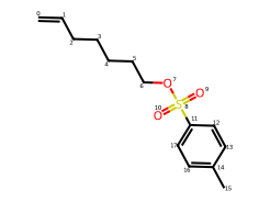 C=CCCCCCOS(=O)(=O)c1ccc(C)cc1